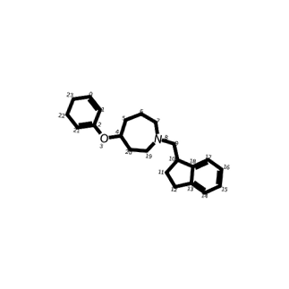 C1=CC(OC2CCCN(CC3CCc4ccccc43)CC2)=CCC1